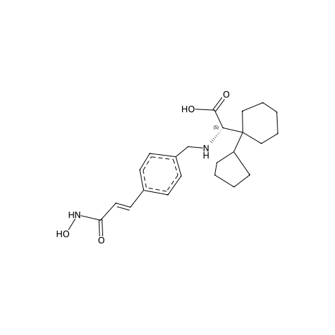 O=C(C=Cc1ccc(CN[C@H](C(=O)O)C2(C3CCCC3)CCCCC2)cc1)NO